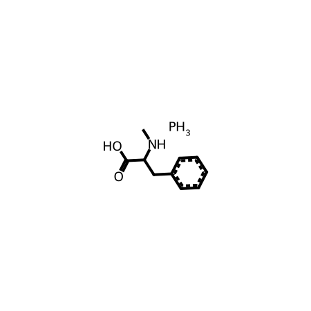 CNC(Cc1ccccc1)C(=O)O.P